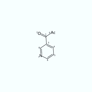 CC(=O)C(=O)c1cccnc1